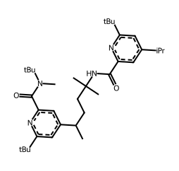 CC(C)c1cc(C(=O)NC(C)(C)CCC(C)c2cc(C(=O)N(C)C(C)(C)C)nc(C(C)(C)C)c2)nc(C(C)(C)C)c1